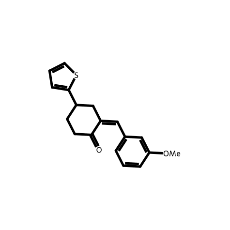 COc1cccc(/C=C2/CC(c3cccs3)CCC2=O)c1